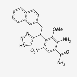 COc1c(N)c(C(N)=O)cc([N+](=O)[O-])c1C(Cc1ccc2ccccc2c1)c1c[nH]nn1